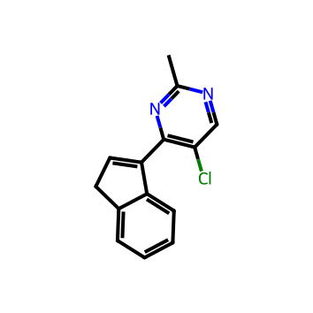 Cc1ncc(Cl)c(C2=CCc3ccccc32)n1